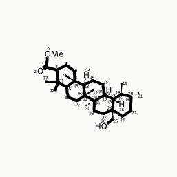 COC(=O)C1CC[C@@]2(C)C(CC[C@]3(C)[C@@H]2CC[C@@H]2[C@@H]4[C@@H](C)[C@H](C)CC[C@]4(CO)CC[C@]23C)C1(C)C